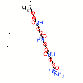 CCCOCCOCC(=O)NCCOCCOCC(=O)NCCOCCOCC(=O)NCCOCCOCC(=O)NCN